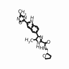 Cc1noc(-c2cc3cc(C4N=C(C(=O)NC[C@@H]5CCCO5)NC4C)ccc3[nH]2)n1